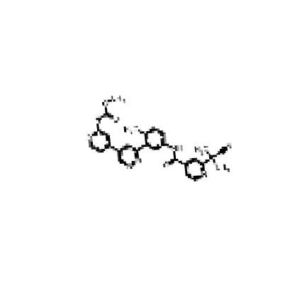 COC(=O)Nc1cc(-c2cnnc(-c3cc(NC(=O)c4ccnc(C(C)(C)C#N)c4)ccc3C)c2)ccn1